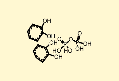 O=P(O)(O)OP(=O)(O)O.Oc1ccccc1O.Oc1ccccc1O